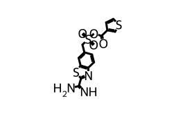 N=C(N)c1nc2ccc(CS(=O)(=O)OC(=O)c3ccsc3)cc2s1